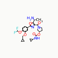 C[C@H](N)c1oc(-c2ccc(OC(F)F)c(OCC3CC3)c2)nc1C(=O)N1CC[C@@H](OC(=O)NC2CC2)C1